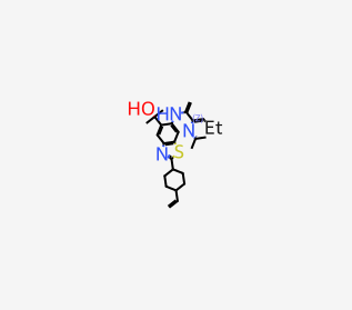 C=CC1CCC(c2nc3cc(C(C)(C)O)c(NC(=C)/C(=C/CC)N=C(C)C)cc3s2)CC1